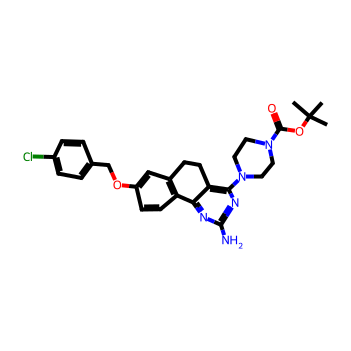 CC(C)(C)OC(=O)N1CCN(c2nc(N)nc3c2CCc2cc(OCc4ccc(Cl)cc4)ccc2-3)CC1